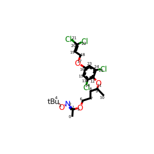 CC(=NOC(C)(C)C)OCCCC(C)Oc1c(Cl)cc(OCC=C(Cl)Cl)cc1Cl